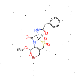 CC(C)(C)OC(=O)C1=C(CBr)CS(=O)(=O)[C@H]2[C@@H](NC(=O)Cc3ccccc3)C(=O)N12